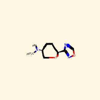 CC(C)(C)N(C(=O)O)[C@@H]1CC[C@@H](c2ncon2)OC1